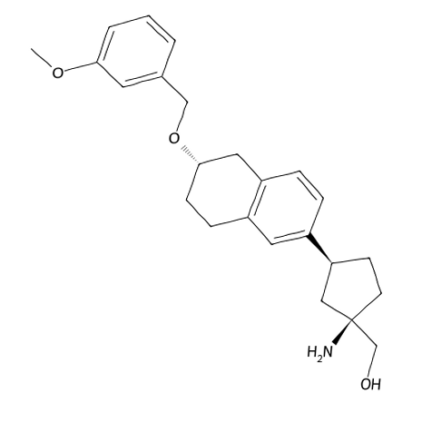 COc1cccc(CO[C@H]2CCc3cc([C@H]4CC[C@](N)(CO)C4)ccc3C2)c1